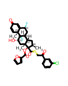 C[C@@H]1C[C@H]2[C@@H]3C[C@H](F)C4=CC(=O)C=C[C@]4(C)[C@@]3(F)[C@@H](O)C[C@]2(C)[C@@]1(OC(=O)c1ccco1)C(=O)SCC(=O)c1cccc(Cl)c1